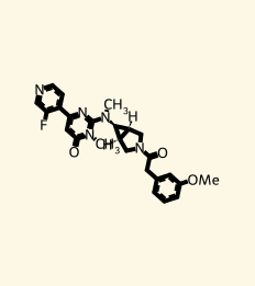 COc1cccc(CC(=O)N2C[C@@H]3[C@H](C2)[C@@H]3N(C)c2nc(-c3ccncc3F)cc(=O)n2C)c1